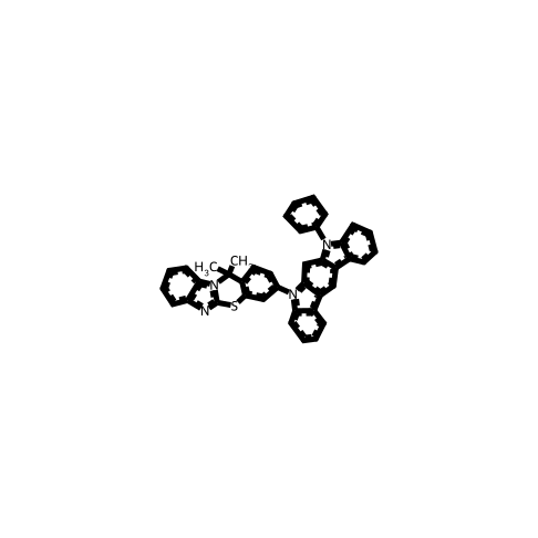 CC1(C)c2ccc(-n3c4ccccc4c4cc5c6ccccc6n(-c6ccccc6)c5cc43)cc2Sc2nc3ccccc3n21